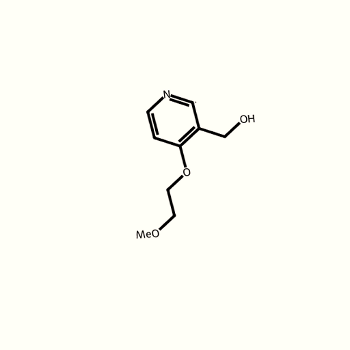 COCCOc1ccn[c]c1CO